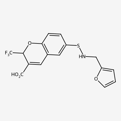 O=C(O)C1=Cc2cc(SNCc3ccco3)ccc2OC1C(F)(F)F